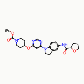 CC(C)OC(=O)N1CCC(Oc2cc(N3CCc4cc(NC(=O)[C@H]5CCCO5)ccc43)ncn2)CC1